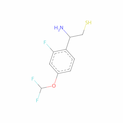 NC(CS)c1ccc(OC(F)F)cc1F